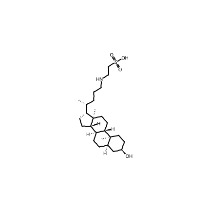 C[C@H](CCCNCCS(=O)(=O)O)[C@H]1CC[C@H]2[C@@H]3CC[C@@H]4C[C@H](O)CC[C@]4(C)[C@H]3CC[C@]12C